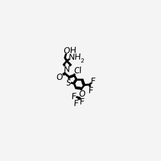 NC1(CO)CN(C(=O)c2sc3cc(OC(F)(F)F)c(C(F)F)cc3c2Cl)C1